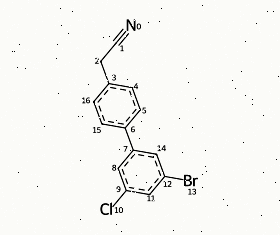 N#CCc1ccc(-c2cc(Cl)cc(Br)c2)cc1